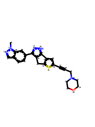 Cn1ncc2ccc(-c3n[nH]c4c3Cc3sc(C#CCN5CCOCC5)cc3-4)cc21